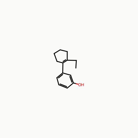 CCC1=C(c2cccc(O)c2)CCCC1